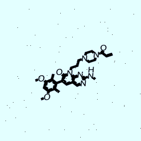 C=CC(=O)N1CCN(CCCn2c(=O)c(-c3c(C)c(OC)cc(OC)c3C)cc3cnc(NC)nc32)CC1